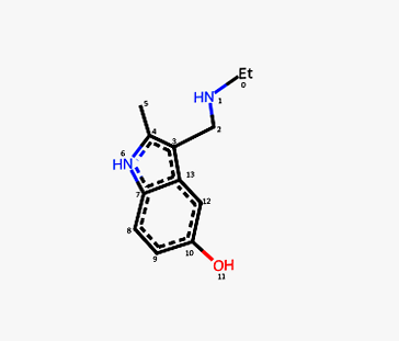 CCNCc1c(C)[nH]c2ccc(O)cc12